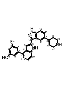 Oc1cc(F)cc(-c2nccc3[nH]c(-c4n[nH]c5ccc(C6=CCNCC6)cc45)cc23)c1